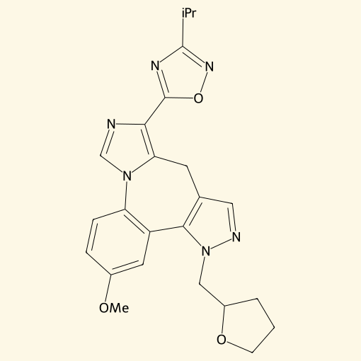 COc1ccc2c(c1)-c1c(cnn1CC1CCCO1)Cc1c(-c3nc(C(C)C)no3)ncn1-2